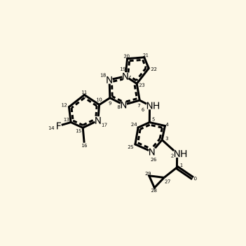 C=C(Nc1cc(Nc2nc(-c3ccc(F)c(C)n3)nn3cccc23)ccn1)C1CC1